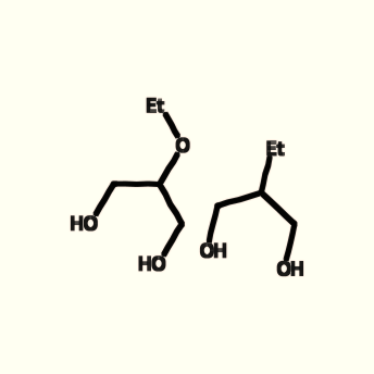 CCC(CO)CO.CCOC(CO)CO